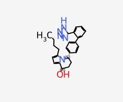 CCCCc1ccc2n1[C@H](c1ccc(-c3ccccc3-c3nnn[nH]3)cc1)CC[C@H]2O